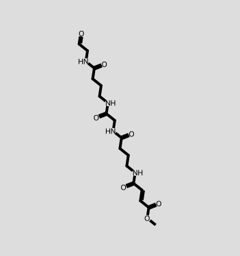 COC(=O)/C=C/C(=O)NCCCC(=O)NCC(=O)NCCCC(=O)NCC=O